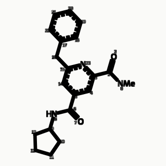 CNC(=O)c1cc(C(=O)NC2CCCC2)cc(Cc2ccccc2)n1